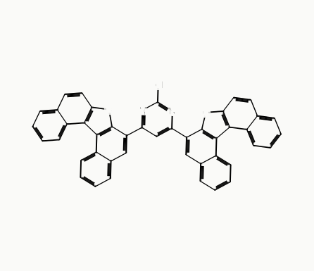 Clc1nc(-c2cc3ccccc3c3c2oc2ccc4ccccc4c23)cc(-c2cc3ccccc3c3c2oc2ccc4ccccc4c23)n1